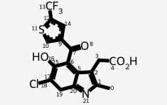 CC1=C(CC(=O)O)C2=C(C(=O)c3csc(C(F)(F)F)c3)C(O)=C(Cl)CC2=N1